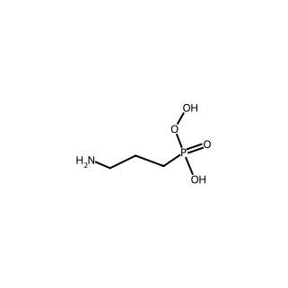 NCCCP(=O)(O)OO